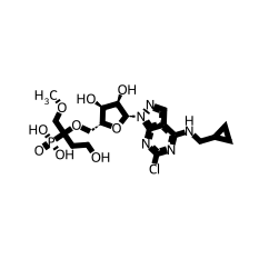 COCC(CCO)(OC[C@H]1O[C@@H](n2ncc3c(NCC4CC4)nc(Cl)nc32)[C@H](O)[C@@H]1O)P(=O)(O)O